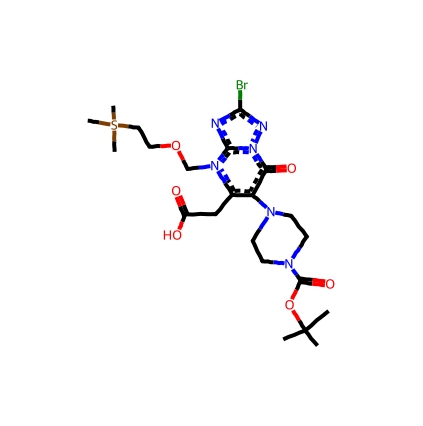 CC(C)(C)OC(=O)N1CCN(c2c(CC(=O)O)n(COCCS(C)(C)C)c3nc(Br)nn3c2=O)CC1